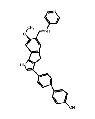 COc1cc2c(cc1CNc1ccncc1)Cc1c(-c3ccc(-c4ccc(O)cc4)cc3)n[nH]c1-2